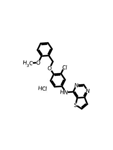 COc1ccccc1COc1ccc(Nc2ncnc3ccsc23)cc1Cl.Cl